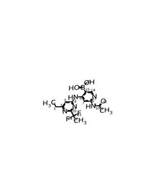 CCc1cc(Nc2cc(NC(C)=O)ncc2B(O)O)nc(C(C)(F)F)n1